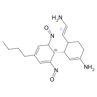 CCCCC1=CC(N=O)[C@H](C2C=C(N)CCC2/C=C/N)C(N=O)=C1